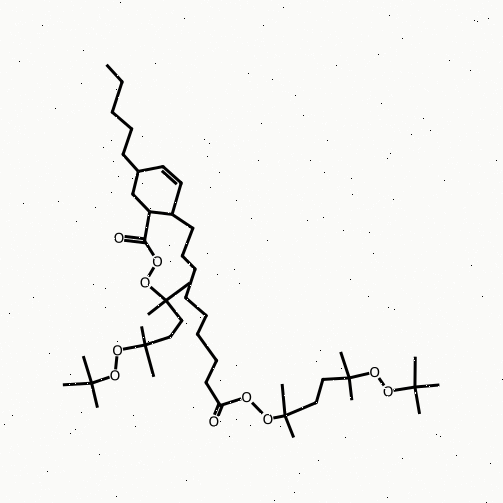 CCCCCC1C=CC(CCCCCCCCC(=O)OOC(C)(C)CCC(C)(C)OOC(C)(C)C)C(C(=O)OOC(C)(C)CCC(C)(C)OOC(C)(C)C)C1